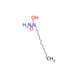 CCCCCCCCCCCCCCCN(CCO)C(N)=O